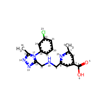 Cc1cc(C(=O)O)cc(CNCc2nnc(C)n2-c2cccc(Cl)c2)n1